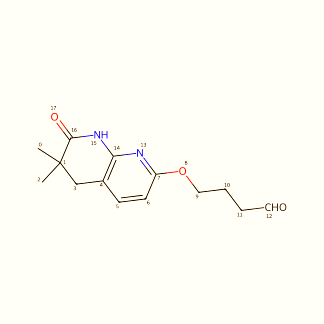 CC1(C)Cc2ccc(OCCCC=O)nc2NC1=O